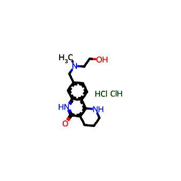 CN(CCO)Cc1ccc2c3c(c(=O)[nH]c2c1)CCCN3.Cl.Cl